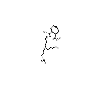 CCC[CH2][Sn]([CH2]CCC)[CH2]CCC.O=C(O)c1ccccc1C(=O)O